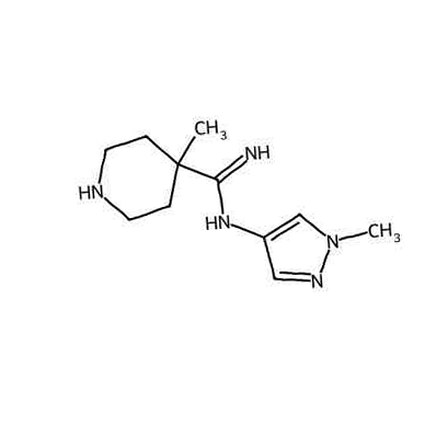 Cn1cc(NC(=N)C2(C)CCNCC2)cn1